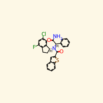 NC(=O)[C@@H](c1ccccc1)N(C(=O)c1cc2ccccc2s1)[C@@H]1CCc2c(F)cc(Cl)cc21